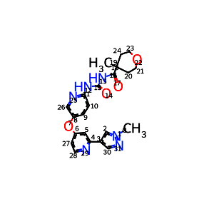 Cn1cc(-c2cc(Oc3ccc(NC(=O)NC(=O)C4(C)CCOCC4)nc3)ccn2)cn1